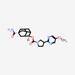 COc1cnc(C2CCN(C(=O)O[C@H]3C4CC5CC3C[C@](C(N)=O)(C5)C4)C2)nc1